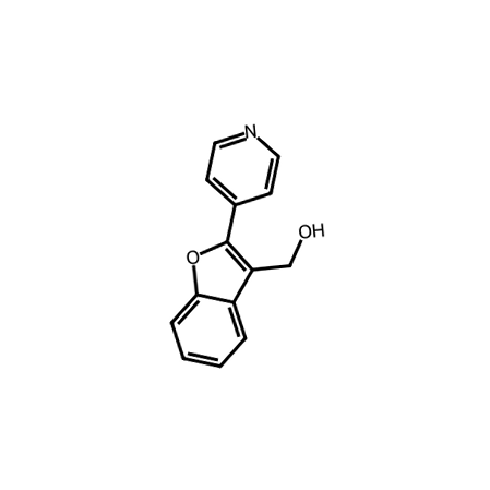 OCc1c(-c2ccncc2)oc2ccccc12